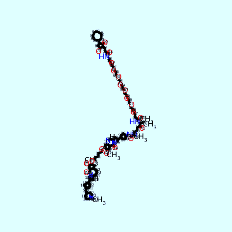 COc1cc2c(cc1OCCCCCOc1cc3c(cc1OC)C(=O)N1C=C(c4ccc(NC(=O)[C@H](C)CCCC(=O)[C@@H](NC(=O)CCOCCOCCOCCOCCOCCOCCOCCOCCNC(=O)CCC5C(=O)CC(C6CCCCCCCC6)C5=O)C(C)C)cc4)C[C@H]1C=N3)C=C=C[C@@H]1CC(c3ccc(/C=C4/CCCN(C)CC4)cc3)=CN1C2=O